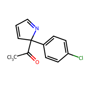 O=C(C(Cl)(Cl)Cl)C1(c2ccc(Cl)cc2)C=CC=N1